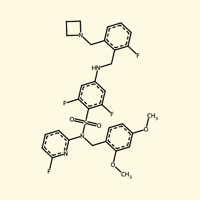 COc1ccc(CN(c2cccc(F)n2)S(=O)(=O)c2c(F)cc(NCc3c(F)cccc3CN3CCC3)cc2F)c(OC)c1